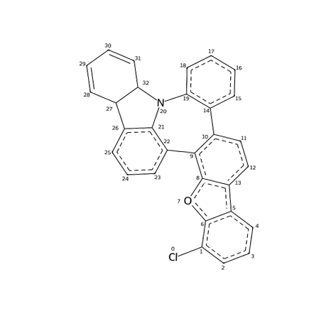 Clc1cccc2c1oc1c3c(ccc12)-c1ccccc1N1c2c-3cccc2C2C=CC=CC21